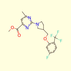 COC(=O)c1cc(C)nc(N2CCC(COc3cc(F)ccc3C(F)(F)F)C2)n1